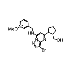 CO[n+]1cccc(CNc2cc(C3CCC[C@H]3CO)nc3c(Br)cnn23)c1